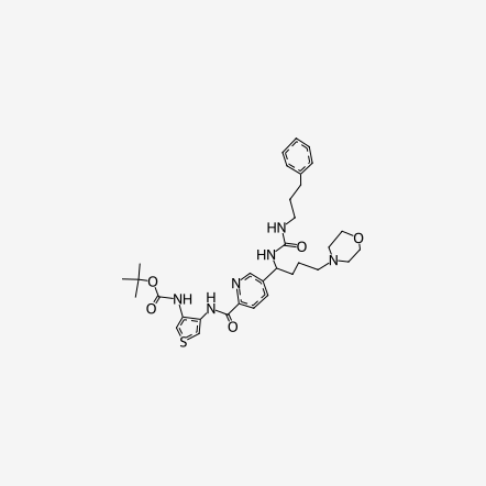 CC(C)(C)OC(=O)Nc1cscc1NC(=O)c1ccc(C(CCCN2CCOCC2)NC(=O)NCCCc2ccccc2)cn1